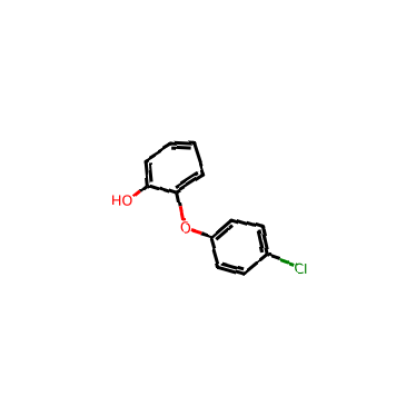 Oc1ccccc1Oc1ccc(Cl)cc1